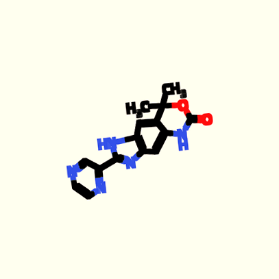 CC1(C)OC(=O)Nc2cc3nc(-c4cnccn4)[nH]c3cc21